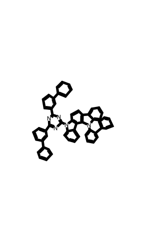 c1ccc(-c2cccc(-c3nc(-c4cccc(-c5ccccc5)c4)nc(-n4c5ccccc5c5c4ccc4c6ccccc6n(-c6ccccc6-c6ccccc6)c45)n3)c2)cc1